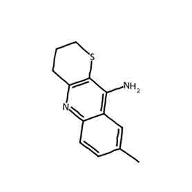 Cc1ccc2nc3c(c(N)c2c1)SCCC3